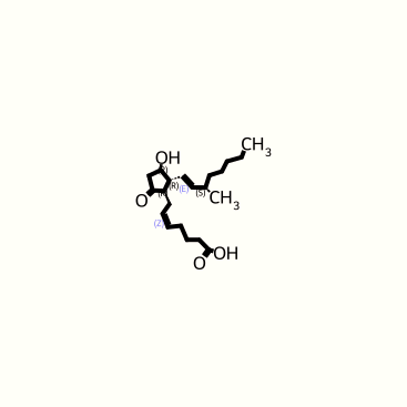 CCCCC[C@H](C)/C=C/[C@H]1[C@H](O)CC(=O)[C@@H]1C/C=C\CCCC(=O)O